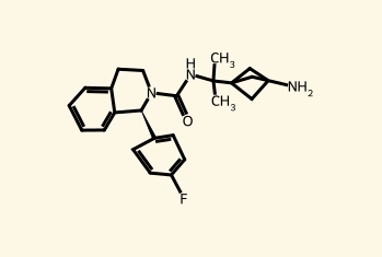 CC(C)(NC(=O)N1CCc2ccccc2[C@@H]1c1ccc(F)cc1)C12CC(N)(C1)C2